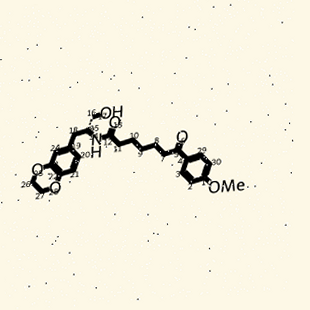 COc1ccc(C(=O)CCCCCC(=O)N[C@@H](CO)Cc2ccc3c(c2)OCCO3)cc1